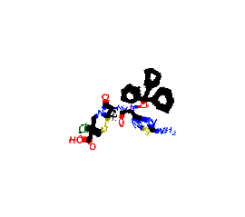 Nc1nc(C(=NOC(c2ccccc2)(c2ccccc2)c2ccccc2)C(=O)N[C@@H]2C(=O)N3CC(Cl)(C(=O)O)CS[C@H]23)ns1